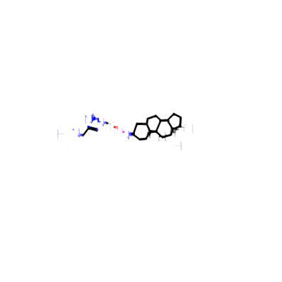 C[C@H]1CCC2C3CCC4CC(=NOCCn5cc(CN)nn5)CC[C@]4(C)C3CC[C@@]21C